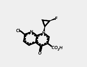 O=C(O)c1cn([C@H]2C[C@H]2F)c2nc(Cl)ccc2c1=O